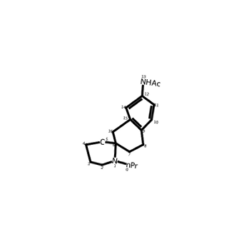 CCCN1CCCCC12CCc1ccc(NC(C)=O)cc1C2